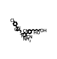 N#Cc1c(N)nc(SCc2coc(-c3ccc(Cl)cc3)n2)c(C#N)c1-c1ccc(CCC[C@@H](O)CO)cc1